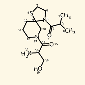 CC(C)C(=O)N1CCSC12CCCN(C(=O)C(N)CO)C2